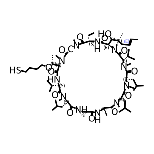 C/C=C/C[C@@H](C)[C@@H](O)[C@@H]1C(=O)N[C@@H](CC)C(=O)N(C)CC(=O)N(C)[C@@H]([C@@H](C)OCCCCS)C(=O)N[C@@H](C(C)C)C(=O)N(C)[C@@H](CC(C)C)C(=O)N[C@@H](C)C(=O)N[C@H](C)C(=O)N(C)[C@@H](CC(C)C)C(=O)N(C)[C@@H](CC(C)C)C(=O)N(C)[C@@H](C(C)C)C(=O)N1C